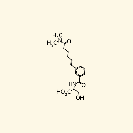 CN(C)C(=O)CCCC=Cc1cccc(C(=O)NC(CO)C(=O)O)c1